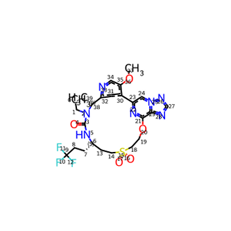 CCN1C(=O)N[C@@H](CCC(F)(F)F)CCS(=O)(=O)CCOc2nc(cn3ncnc23)-c2cc(ncc2OC)[C@H]1C